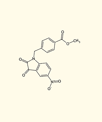 COC(=O)c1ccc(CN2C(=O)C(=O)c3cc([N+](=O)[O-])ccc32)cc1